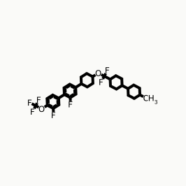 CC1CCC(C2CCC(C(F)(F)OC3CCC(c4ccc(-c5ccc(OC(F)(F)F)c(F)c5)c(F)c4)CC3)CC2)CC1